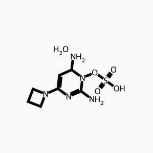 NC1=NC(N2CCC2)=CC(N)N1OS(=O)(=O)O.O